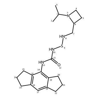 CC(C)N1CCC1CNSNC(=O)Nc1c2c(cc3c1CCC3)CCC2